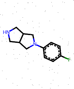 Fc1ccc(N2CC3CNCC3C2)cc1